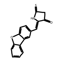 O=C1CC(=S)N/C1=C\c1ccc2oc3ccccc3c2c1